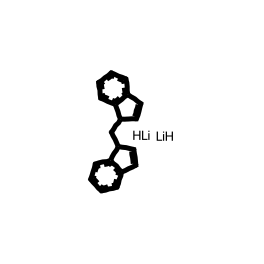 C1=CC(CC2C=Cc3ccccc32)c2ccccc21.[LiH].[LiH]